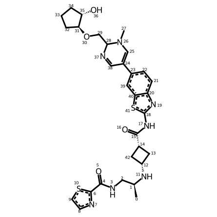 C[C@@H](CNC(=O)c1nccs1)N[C@H]1C[C@@H](C(=O)Nc2nc3ccc(C4=CN(C)C(CO[C@H]5CCC[C@@H]5O)N=C4)cc3s2)C1